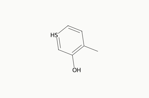 CC1=C(O)C=[SH]C=C1